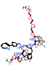 COCCOCCOCCOC(=O)N[C@@H](C(=O)N[C@H]([CH]CN(Cc1ccc(-c2ccccn2)cc1)NC(=O)[C@H](NC(=O)OC)C(C)(C)C)Cc1ccccc1)C(C)(C)C